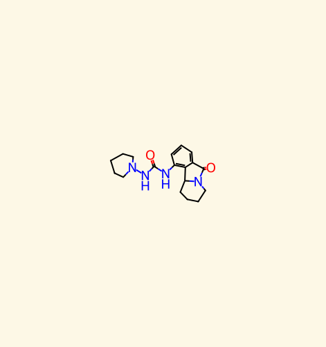 O=C(Nc1cccc2c1C1CCCCN1C2=O)NN1CCCCC1